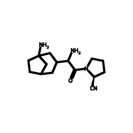 N#C[C@@H]1CCCN1C(=O)C(N)C1CC2CCC(N)(C2)C1